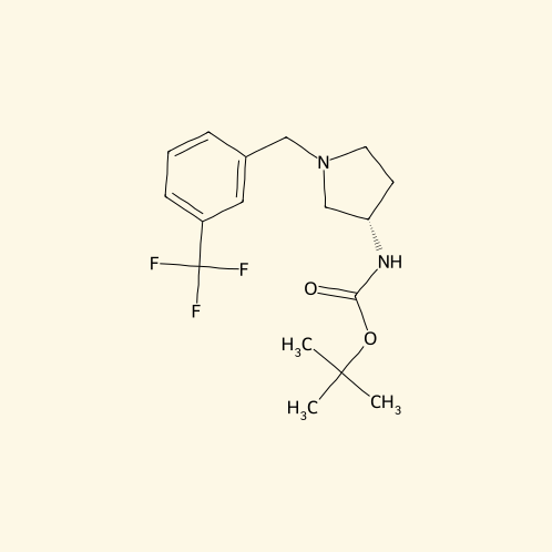 CC(C)(C)OC(=O)N[C@H]1CCN(Cc2cccc(C(F)(F)F)c2)C1